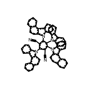 N#Cc1c(-n2c3ccccc3c3c4ccccc4ccc32)c(C#N)c(-n2c3ccccc3c3c4ccccc4ccc32)c(-n2c3ccccc3c3ccccc32)c1-n1c2ccccc2c2c3ccccc3ccc21